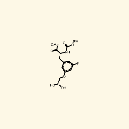 COC(=O)[C@H](Cc1cc(F)cc(OCB(O)O)c1)NC(=O)OC(C)(C)C